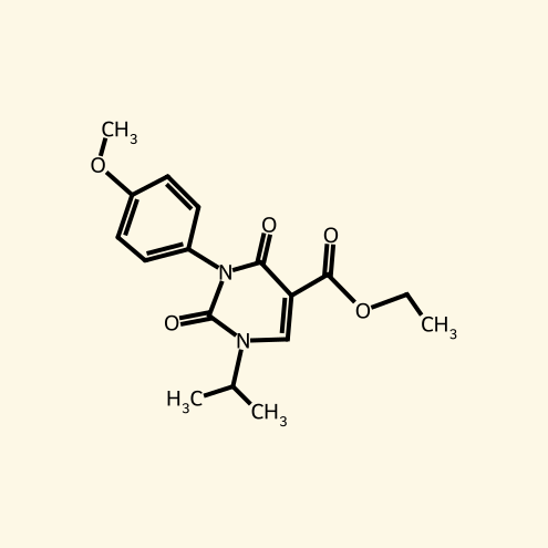 CCOC(=O)c1cn(C(C)C)c(=O)n(-c2ccc(OC)cc2)c1=O